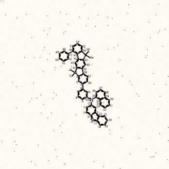 CC1(C)c2cc(-c3cccc(N(c4ccc5sc6ccccc6c5c4)c4cccc5ccccc45)c3)ccc2-c2cc3c(cc21)-c1c(-c2ccccc2)cccc1C3(C)C